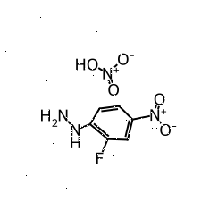 NNc1ccc([N+](=O)[O-])cc1F.O=[N+]([O-])O